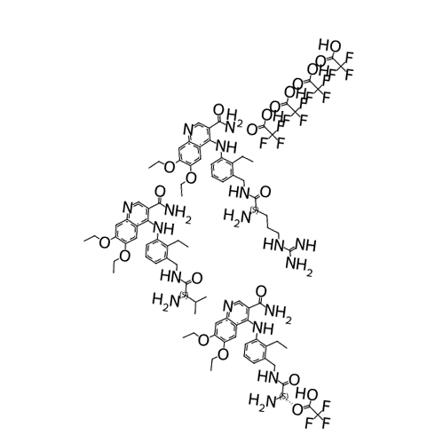 CCOc1cc2ncc(C(N)=O)c(Nc3cccc(CNC(=O)[C@@H](N)C(C)C)c3CC)c2cc1OCC.CCOc1cc2ncc(C(N)=O)c(Nc3cccc(CNC(=O)[C@@H](N)CCCNC(=N)N)c3CC)c2cc1OCC.CCOc1cc2ncc(C(N)=O)c(Nc3cccc(CNC(=O)[C@H](C)N)c3CC)c2cc1OCC.O=C(O)C(F)(F)F.O=C(O)C(F)(F)F.O=C(O)C(F)(F)F.O=C(O)C(F)(F)F.O=C(O)C(F)(F)F